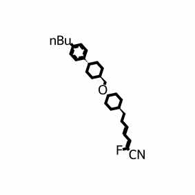 CCCCc1ccc([C@H]2CC[C@H](CO[C@H]3CC[C@H](CCC=CC=C(F)C#N)CC3)CC2)cc1